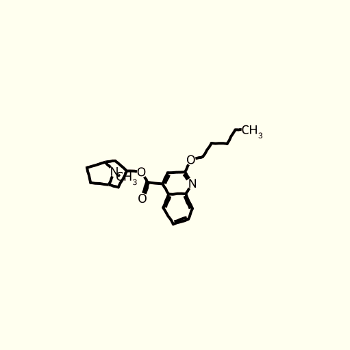 CCCCCOc1cc(C(=O)OC2CC3CCC(C2)N3C)c2ccccc2n1